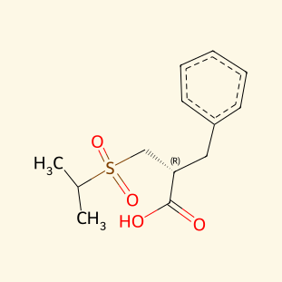 CC(C)S(=O)(=O)C[C@H](Cc1ccccc1)C(=O)O